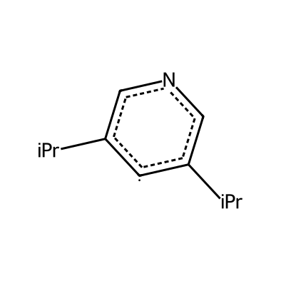 CC(C)c1[c]c(C(C)C)cnc1